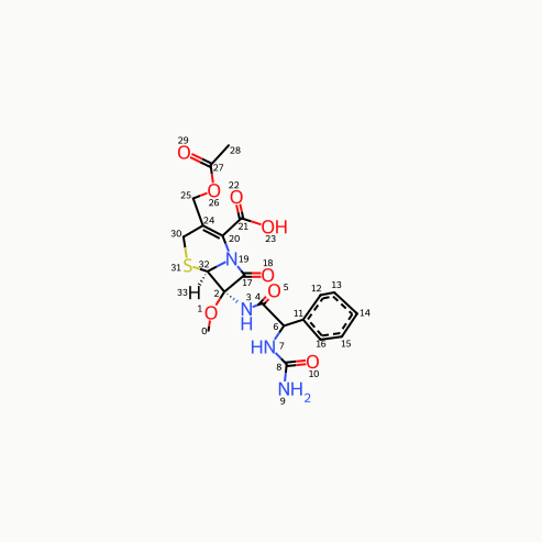 CO[C@]1(NC(=O)C(NC(N)=O)c2ccccc2)C(=O)N2C(C(=O)O)=C(COC(C)=O)CS[C@@H]21